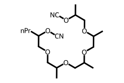 CCCC(COCC(C)OCC(C)OCC(C)OCC(C)OC#N)OC#N